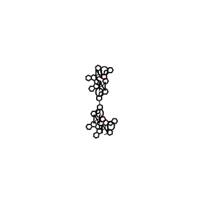 Cc1ccccc1N(c1cccc2c1oc1ccccc12)c1cc2ccccc2c2c1sc1c(N(c3ccccc3C)c3cccc4c3oc3ccc(-c5ccc6oc7c(N(c8ccccc8)c8cc9ccccc9c9c8sc8c(N(c%10ccccc%10)c%10cccc%11c%10oc%10ccccc%10%11)cc%10ccccc%10c89)cccc7c6c5)cc34)cc3ccccc3c12